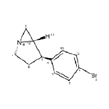 Brc1ccc([C@H]2CC[N@]3C[C@H]23)cc1